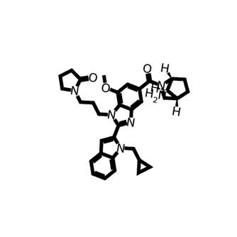 COc1cc(C(=O)N2C[C@H]3CC[C@@H]2[C@@H]3N)cc2nc(-c3cc4ccccc4n3CC3CC3)n(CCCN3CCCC3=O)c12